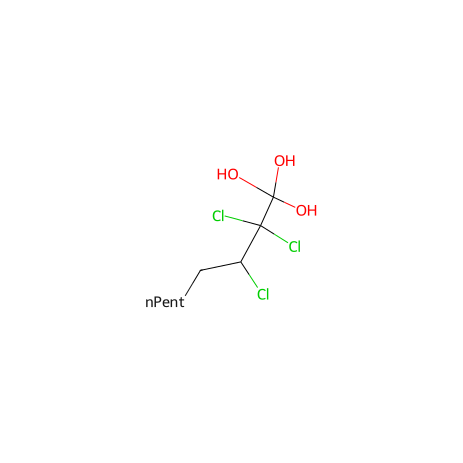 CCCCCCC(Cl)C(Cl)(Cl)C(O)(O)O